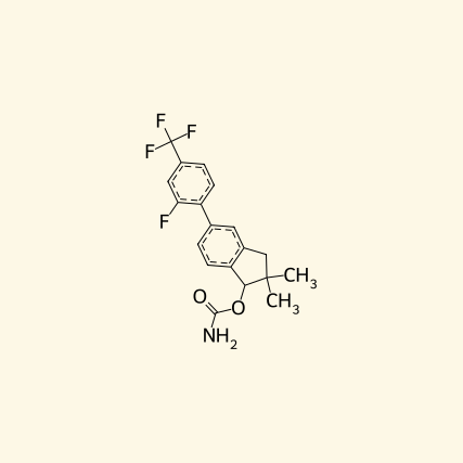 CC1(C)Cc2cc(-c3ccc(C(F)(F)F)cc3F)ccc2C1OC(N)=O